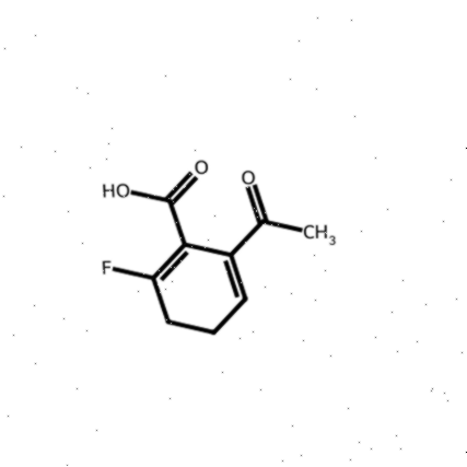 CC(=O)C1=CCCC(F)=C1C(=O)O